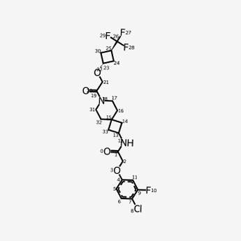 O=C(COc1ccc(Cl)c(F)c1)NC1CC2(CCN(C(=O)CO[C@H]3C[C@H](C(F)(F)F)C3)CC2)C1